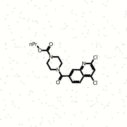 CCCOC(=O)N1CCN(C(=O)c2ccc3c(Cl)cc(Cl)nc3c2)CC1